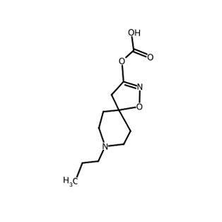 CCCN1CCC2(CC1)CC(OC(=O)O)=NO2